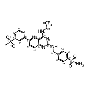 CS(=O)(=O)c1cccc(-c2ccc3nc(NCc4ccc(S(N)(=O)=O)cc4)nc(NCC(F)(F)F)c3n2)c1